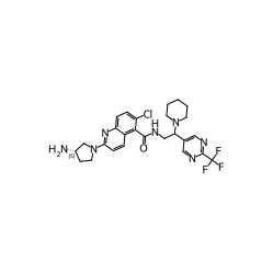 N[C@H]1CCN(c2ccc3c(C(=O)NCC(c4cnc(C(F)(F)F)nc4)N4CCCCC4)c(Cl)ccc3n2)C1